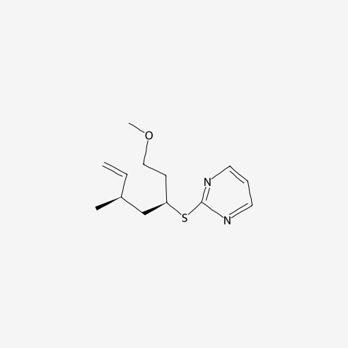 C=C[C@H](C)C[C@@H](CCOC)Sc1ncccn1